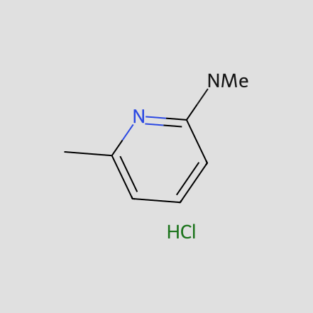 CNc1cccc(C)n1.Cl